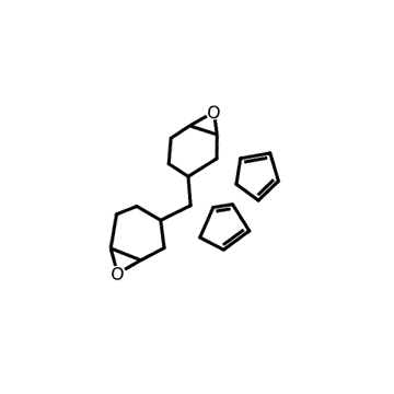 C1=CCC=C1.C1=CCC=C1.C1CC2OC2CC1CC1CCC2OC2C1